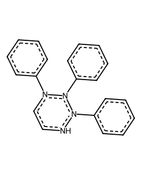 c1ccc(-n2cc[nH]n(-c3ccccc3)n2-c2ccccc2)cc1